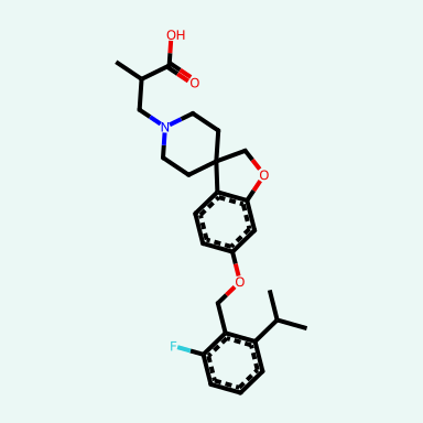 CC(CN1CCC2(CC1)COc1cc(OCc3c(F)cccc3C(C)C)ccc12)C(=O)O